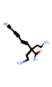 C#CC#CC#CC(CCN)(CCN)C(N)=O